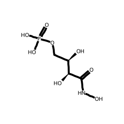 O=C(NO)[C@@H](O)[C@H](O)COP(=O)(O)O